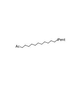 CCCC(C)CCCCCCCCCCCC(C)=O